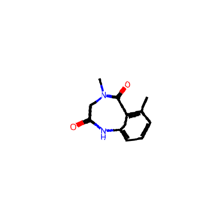 Cc1cccc2c1C(=O)N(C)CC(=O)N2